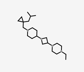 CCN1CCN(C2CN(C3CCN(CC4(CC(C)C)CC4)CC3)C2)CC1